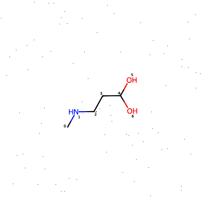 CN[CH]C[C](O)O